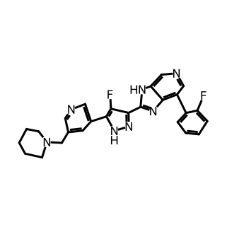 Fc1ccccc1-c1cncc2[nH]c(-c3n[nH]c(-c4cncc(CN5CCCCC5)c4)c3F)nc12